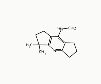 CC1(C)CCc2c1nc1c(c2NC=O)CCC1